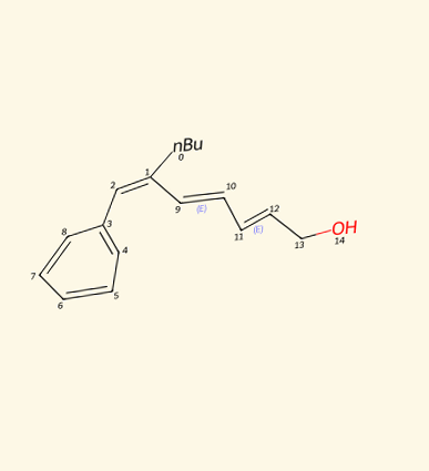 CCCCC(=Cc1ccccc1)/C=C/C=C/CO